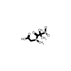 CN(CC(=O)O)C(=O)C(C)(C)N(Cl)Cl